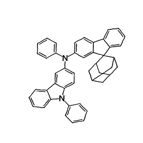 c1ccc(N(c2ccc3c(c2)C2(c4ccccc4-3)C3CC4CC(C3)CC2C4)c2ccc3c(c2)c2ccccc2n3-c2ccccc2)cc1